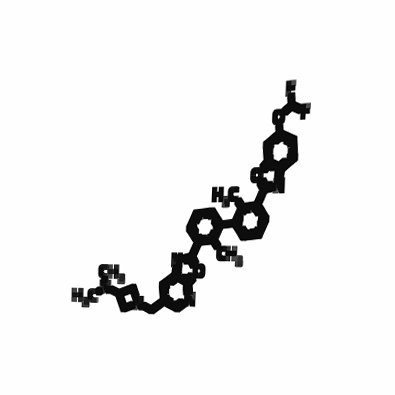 Cc1c(-c2nc3ccc(OC(F)F)cc3o2)cccc1-c1cccc(-c2nc3cc(CN4CC(N(C)C)C4)cnc3o2)c1C